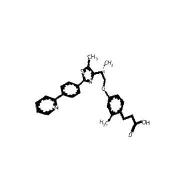 Cc1cc(OC[C@@H](C)c2nc(-c3ccc(-c4ccccn4)cc3)sc2C)ccc1CCC(=O)O